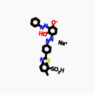 Cc1ccc2nc(-c3ccc(N=Nc4ccc([O-])c(N=Nc5ccccc5)c4O)cc3)sc2c1S(=O)(=O)O.[Na+]